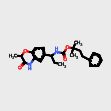 CCC(NC(=O)OC(C)(C)CCc1ccccc1)c1ccc2c(c1)NC(=O)C(C)O2